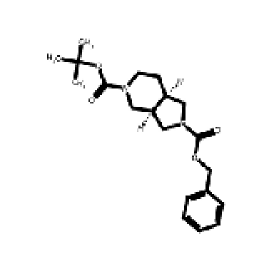 CC(C)(C)OC(=O)N1CC[C@H]2CN(C(=O)OCc3ccccc3)C[C@H]2C1